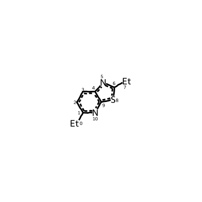 CCc1ccc2nc(CC)sc2n1